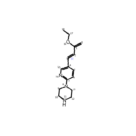 C=C(/C=C/c1ccc(N2CCNCC2)nc1)OCC